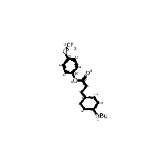 CCCCC1CCC(CCC(=O)Oc2ccc(OC(F)(F)F)cc2)CC1